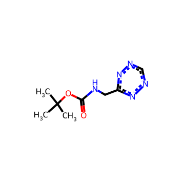 CC(C)(C)OC(=O)NCc1nncnn1